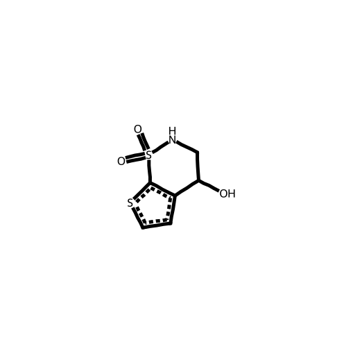 O=S1(=O)NCC(O)c2ccsc21